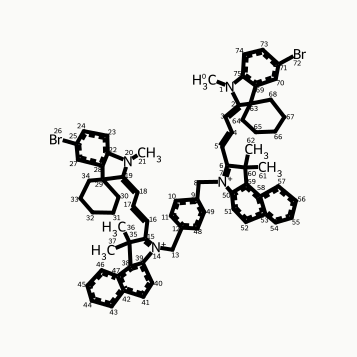 CN1/C(=C/C=C/C2=[N+](Cc3ccc(C[N+]4=C(/C=C/C=C5/N(C)c6ccc(Br)cc6C56CCCCC6)C(C)(C)c5c4ccc4ccccc54)cc3)c3ccc4ccccc4c3C2(C)C)C2(CCCCC2)c2cc(Br)ccc21